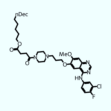 CCCCCCCCCCCCCCCOC(=O)CCC(=O)N1CCN(CCCOc2cc3c(Nc4ccc(F)c(Cl)c4)ncnc3cc2OC)CC1